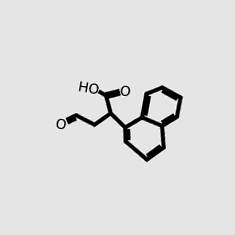 O=CCC(C(=O)O)c1cccc2ccccc12